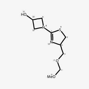 COCOCC1CSC(N2CC(O)C2)=N1